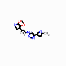 Cc1ccc(-c2cc(NCCC(C)c3ccnc4c3OCCO4)ncn2)cn1